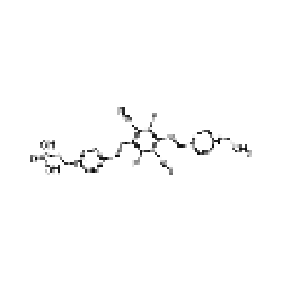 CC[n+]1ccc(/C=C/c2c(F)c(C#N)c(/C=C/c3cc[n+](CCP(=O)(O)O)cc3)c(F)c2C#N)cc1